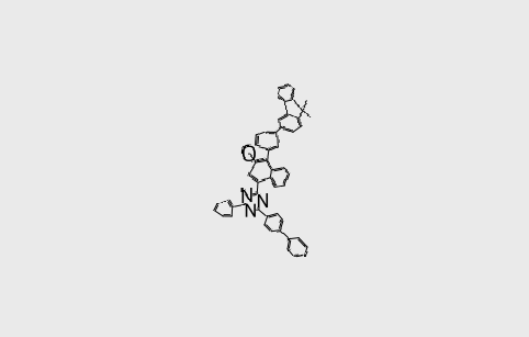 CC1(C)c2ccccc2-c2cc(-c3ccc4oc5cc(-c6nc(-c7ccccc7)nc(-c7ccc(-c8ccccc8)cc7)n6)c6ccccc6c5c4c3)ccc21